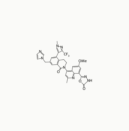 COc1cc(-c2n[nH]c(=O)o2)c2nc(C)cc(N3CCc4c(cc(Cn5ccnc5)cc4-c4cn(C)nc4C(F)(F)F)C3=O)c2c1